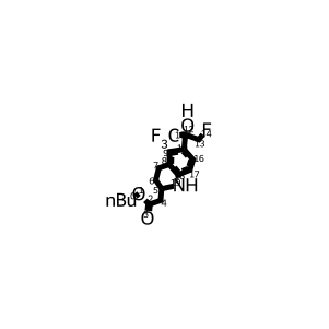 CCCCOC(=O)CC1CCc2cc(C(O)(CF)C(F)(F)F)ccc2N1